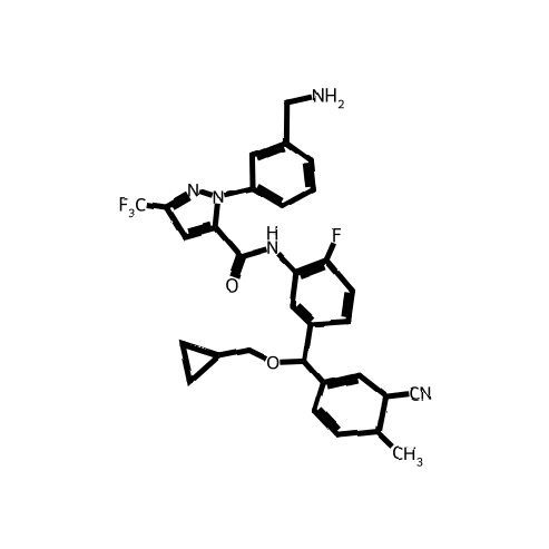 CC1C=CC(C(OCC2CC2)c2ccc(F)c(NC(=O)c3cc(C(F)(F)F)nn3-c3cccc(CN)c3)c2)=CC1C#N